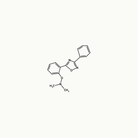 CN(C)Oc1ccccc1-c1nc(-c2ccccc2)no1